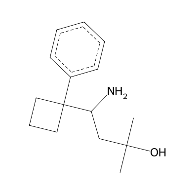 CC(C)(O)CC(N)C1(c2ccccc2)CCC1